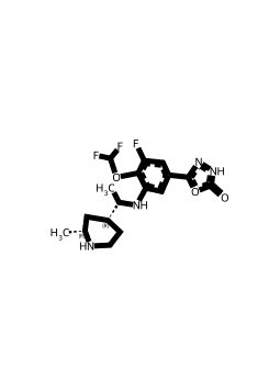 CC(Nc1cc(-c2n[nH]c(=O)o2)cc(F)c1OC(F)F)[C@@H]1CCN[C@H](C)C1